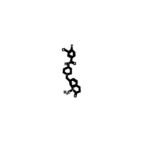 CN1C(=O)CCc2ccc(CN3CCC(NC(=O)c4ccc(F)c(Cl)c4)CC3)cc21